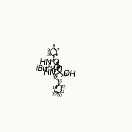 CCC(C)[C@H](NC(=O)c1ccccc1)C(=O)N[C@@H](CCc1ccccc1)C(=O)CO